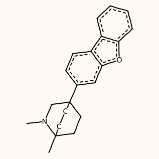 CN1CC2(c3ccc4c(c3)oc3ccccc34)CCC1(C)CC2